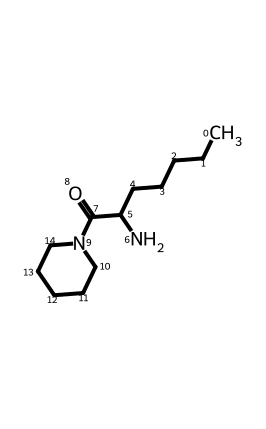 CCCCCC(N)C(=O)N1CCCCC1